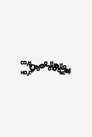 N#C[C@@H]1CC(F)(F)CN1C(=O)CNC(=O)c1ccnc2c(NC(=O)CCC(=O)N3CCN(C(=O)CN4CCN(CC(=O)O)CCN(CC(=O)O)CC4)CC3)cccc12